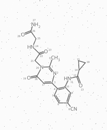 Cc1nc(-c2ccc(C#N)cc2NC(=O)C2CC2)cc(=O)n1CC(=O)NCC(N)=O